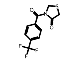 O=C1CSCN1C(=O)c1ccc(C(F)(F)F)cc1